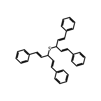 C(=CC(C=Cc1ccccc1)SC(C=Cc1ccccc1)C=Cc1ccccc1)c1ccccc1